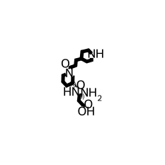 N[C@H](CC(=O)O)NC(=O)[C@@H]1CCCN(C(=O)CCC2CCNCC2)C1